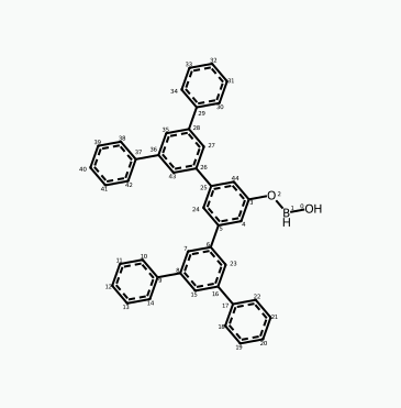 OBOc1cc(-c2cc(-c3ccccc3)cc(-c3ccccc3)c2)cc(-c2cc(-c3ccccc3)cc(-c3ccccc3)c2)c1